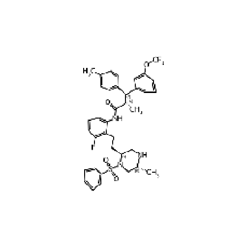 Cc1ccc([C@@H](c2cccc(OC(F)(F)F)c2)[C@H](C)C(=O)Nc2cccc(F)c2CC[C@H]2CN[C@H](C)CN2S(=O)(=O)c2ccccc2)cc1